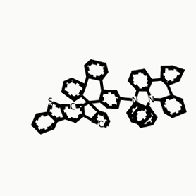 c1ccc(N(c2ccc3c(c2)-c2ccccc2-c2ccccc2C32c3ccccc3-c3cc4c(cc32)sc2ccccc24)c2cccc3c2N(c2ccccc2)c2ccccc2-c2ccccc2-3)cc1